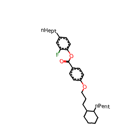 CCCCCCCc1ccc(OC(=O)c2ccc(OCCCC3CCCCC3CCCCC)cc2)c(F)c1